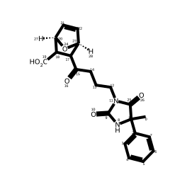 CC1(c2ccccc2)NC(=O)N(CCCC(=O)C2C(C(=O)O)[C@H]3C=C[C@@H]2O3)C1=O